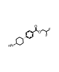 CCC[C@H]1CC[C@H](c2ccc(C(=O)OCC(F)F)cc2)CC1